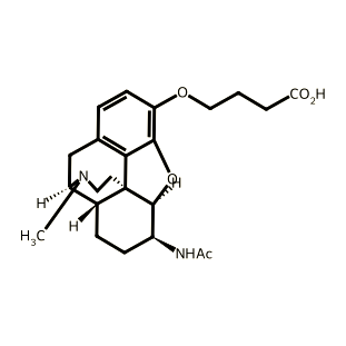 CC(=O)N[C@H]1CC[C@@H]2[C@H]3Cc4ccc(OCCCC(=O)O)c5c4[C@@]2(CCN3C)[C@H]1O5